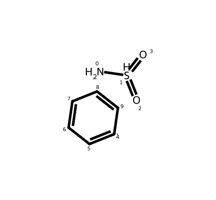 N[SH](=O)=O.[c]1ccccc1